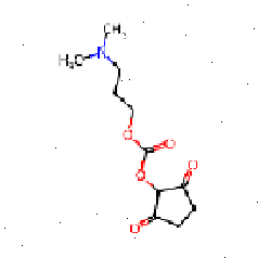 CN(C)CCCOC(=O)OC1C(=O)CCC1=O